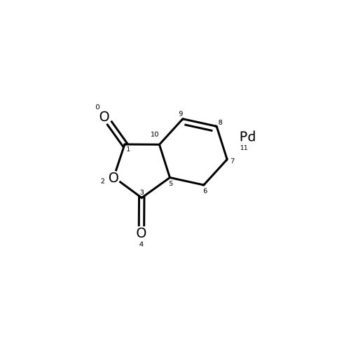 O=C1OC(=O)C2CCC=CC12.[Pd]